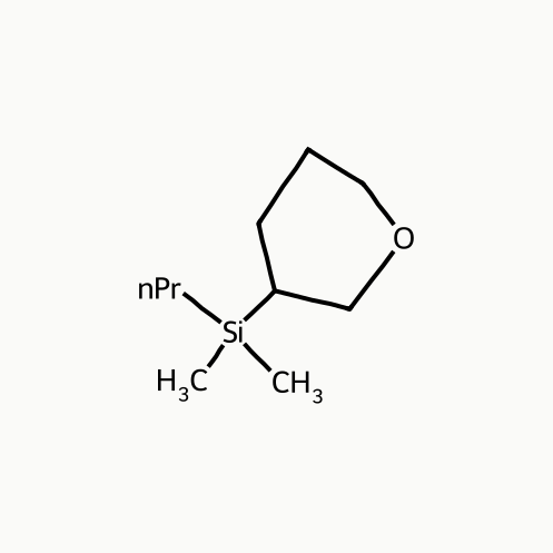 CCC[Si](C)(C)C1CCCOC1